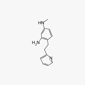 CNc1ccc(CCc2ccccn2)c(N)c1